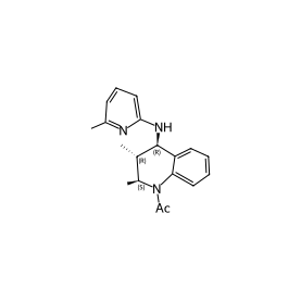 CC(=O)N1c2ccccc2[C@H](Nc2cccc(C)n2)[C@@H](C)[C@@H]1C